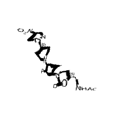 CC(=O)NC[C@H]1CN(c2ccc(N3CC[C@@H](n4cc([N+](=O)[O-])cn4)C3)c(F)c2)C(=O)O1